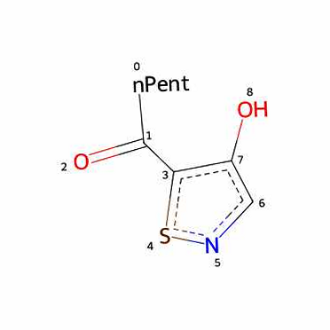 CCCCCC(=O)c1sncc1O